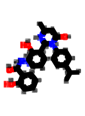 Cc1cc(=O)n(-c2ccc(C(C)C)cc2)c(-c2ccccc2O)n1.NC(=O)c1ccccc1O